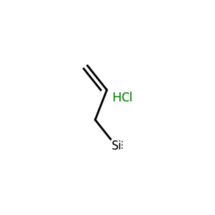 C=CC[Si].Cl